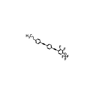 CCCc1ccc(C#Cc2ccc(C#Cc3ccc(OC(F)(F)F)c(F)c3F)cc2)cc1